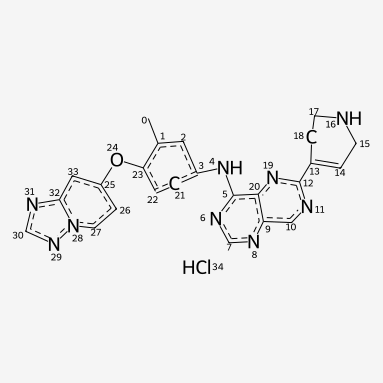 Cc1cc(Nc2ncnc3cnc(C4=CCNCC4)nc23)ccc1Oc1ccn2ncnc2c1.Cl